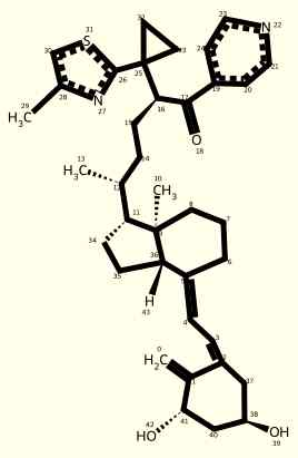 C=C1/C(=C\C=C2/CCC[C@]3(C)[C@@H]([C@H](C)CC[C@H](C(=O)c4ccncc4)C4(c5nc(C)cs5)CC4)CC[C@@H]23)C[C@@H](O)C[C@@H]1O